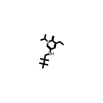 C=C1C(CC)=CC(BCC(C)(C)C(C)(C)C)=CN1C(C)C